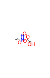 C=CC(=O)NOC(=O)C(C)O.COC